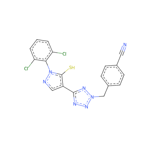 N#Cc1ccc(Cn2nnc(-c3cnn(-c4c(Cl)cccc4Cl)c3S)n2)cc1